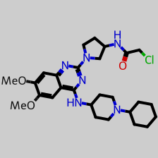 COc1cc2nc(N3CCC(NC(=O)CCl)C3)nc(NC3CCN(C4CCCCC4)CC3)c2cc1OC